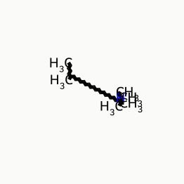 CCCCCC(C)CCCCCCCCCCCCCCCCCCC(C(C)C)N(C)CC